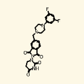 O=C1CCN(N2C(=O)c3ccc(CN4CCN(c5cc(F)cc(F)c5)CC4)cc3C2=O)C(=O)N1